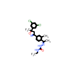 C/C(=N/NC(=O)NCC(F)(F)F)c1ccc(C2=NOC(c3cc(Cl)cc(Cl)c3)(C(F)(F)F)C2)cc1C